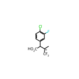 C[C@H](C(C(=O)O)c1ccc(Cl)c(F)c1)C(F)(F)F